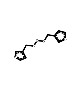 c1cc(CSOSCc2ccoc2)co1